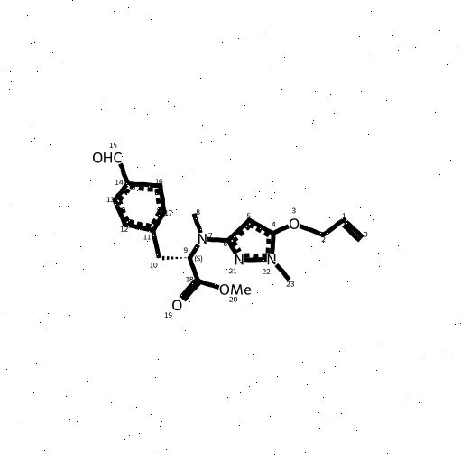 C=CCOc1cc(N(C)[C@@H](Cc2ccc(C=O)cc2)C(=O)OC)nn1C